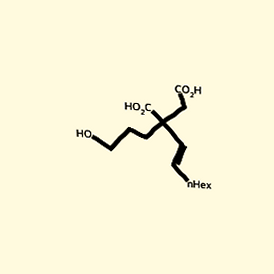 CCCCCCC=CC(CCCO)(CC(=O)O)C(=O)O